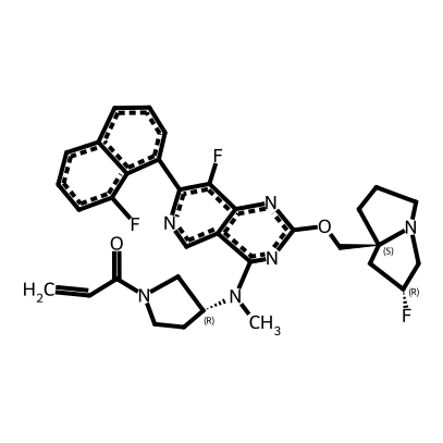 C=CC(=O)N1CC[C@@H](N(C)c2nc(OC[C@@]34CCCN3C[C@H](F)C4)nc3c(F)c(-c4cccc5cccc(F)c45)ncc23)C1